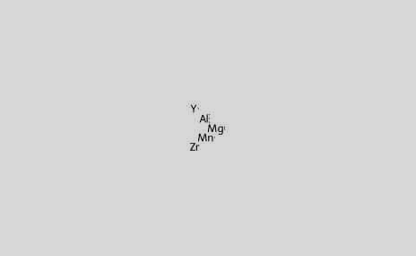 [Al].[Mg].[Mn].[Y].[Zr]